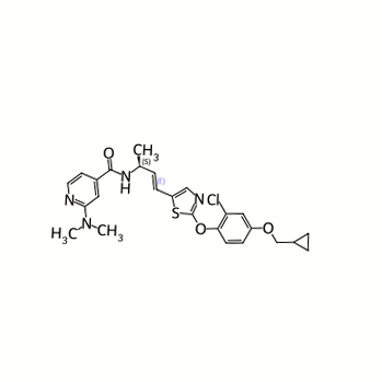 C[C@@H](/C=C/c1cnc(Oc2ccc(OCC3CC3)cc2Cl)s1)NC(=O)c1ccnc(N(C)C)c1